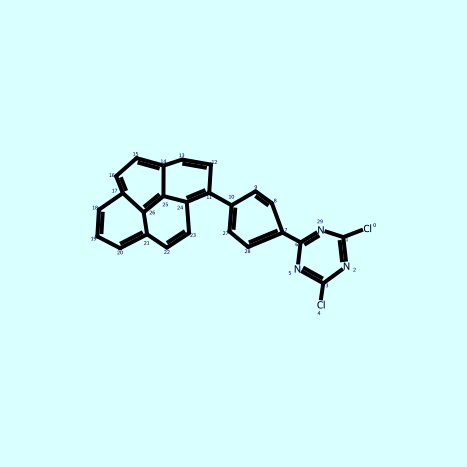 Clc1nc(Cl)nc(-c2ccc(-c3ccc4ccc5cccc6ccc3c4c56)cc2)n1